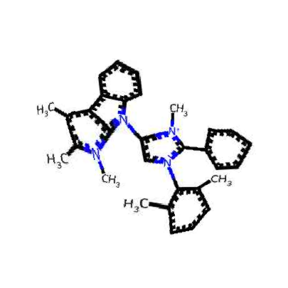 Cc1cccc(C)c1-n1cc(-n2c3ccccc3c3c(C)c(C)n(C)c32)[n+](C)c1-c1ccccc1